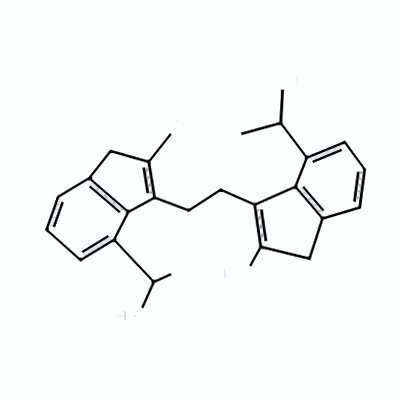 CC1=C(CCC2=C(C)[CH]c3cccc(C(C)C)c32)c2c(cccc2C(C)C)[CH]1